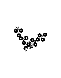 Cc1nc2c(Cl)ncc(-c3cccnc3)c2s1.[Pd].c1ccc(P(c2ccccc2)c2ccccc2)cc1.c1ccc(P(c2ccccc2)c2ccccc2)cc1.c1ccc(P(c2ccccc2)c2ccccc2)cc1.c1ccc(P(c2ccccc2)c2ccccc2)cc1